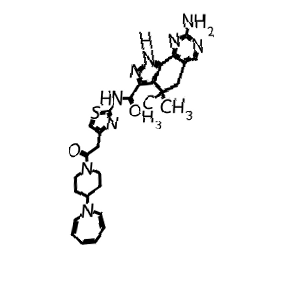 CC1(C)Cc2cnc(N)nc2-c2[nH]nc(C(=O)Nc3nc(CC(=O)N4CCC(N5C=CC=CC=C5)CC4)cs3)c21